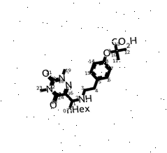 CCCCCCC(NCCc1ccc(OC(C)(C)C(=O)O)cc1)c1nn(C)c(=O)n(C)c1=O